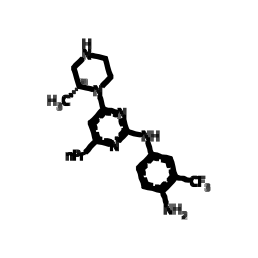 CCCc1cc(N2CCNC[C@H]2C)nc(Nc2ccc(N)c(C(F)(F)F)c2)n1